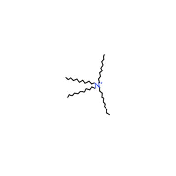 CCCCCCCCCCC[N+](CCCCCCCCCCC)(CCCCCCCCCCC)CCCCCCCCCCC